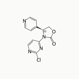 O=C1OC[C@H](c2ccncc2)N1c1ccnc(Cl)n1